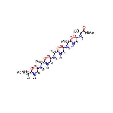 CC[C@H](C)[C@@H](C(=O)NC)N(C)C(=O)CN(C)C(=O)C(C(C)C)N(C)C(=O)CN(C)C(=O)C(C)N(C)C(=O)CN(C)C(=O)C(C(C)C)N(C)C(=O)CN(C)C(=O)C(C)NC(C)=O